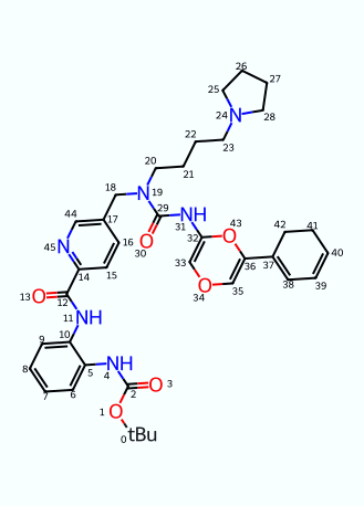 CC(C)(C)OC(=O)Nc1ccccc1NC(=O)c1ccc(CN(CCCCN2CCCC2)C(=O)NC2=COC=C(C3=CC=CCC3)O2)cn1